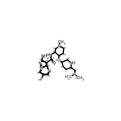 CN(C)CC1CCC(OC2CCN(C)CC2NC(=O)c2c(N)nn3cc(F)cnc23)CN1